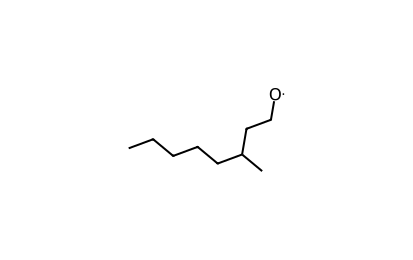 CCCCCC(C)CC[O]